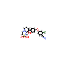 N#Cc1ccc(Oc2ccc(C3(O)CCCN4CCS(O)(O)N=C43)cc2)cc1Cl